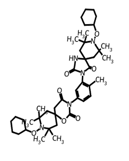 Cc1ccc(N2C(=O)CC3(CC(C)(C)N(OC4CCCCC4)C(C)(C)C3)OC2=O)cc1N1C(=O)NC2(CC(C)(C)N(OC3CCCCC3)C(C)(C)C2)C1=O